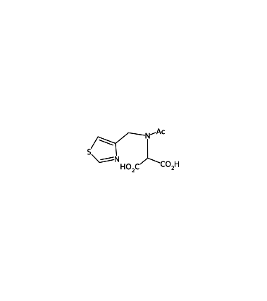 CC(=O)N(Cc1cscn1)C(C(=O)O)C(=O)O